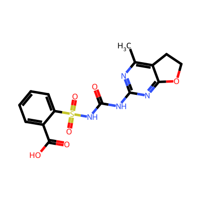 Cc1nc(NC(=O)NS(=O)(=O)c2ccccc2C(=O)O)nc2c1CCO2